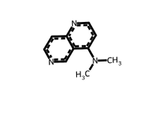 CN(C)c1ccnc2ccncc12